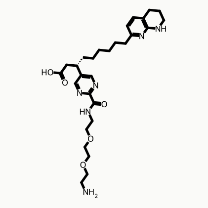 NCCOCCOCCNC(=O)c1ncc([C@@H](CCCCCCc2ccc3c(n2)NCCC3)CC(=O)O)cn1